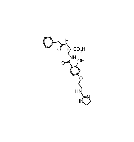 O=C(Cc1ccccc1)N[C@@H](CNC(=O)c1ccc(OCCNC2=NCCN2)cc1O)C(=O)O